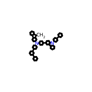 C=C1c2ccccc2-c2ccc(N(c3ccc(-c4cccc(-c5ccccc5)c4)cc3)c3ccc(-c4ccc5c(c4)c4ccccc4n5-c4ccc(-c5ccccc5)cc4)cc3)cc21